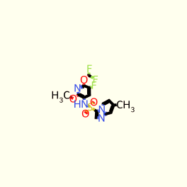 COc1nc(OC(F)F)c(F)cc1NS(=O)(=O)c1cnc2cc(C)ccn12